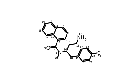 CN(C(=O)c1cccc2ccccc12)C(CCN)Cc1ccc(Cl)cc1